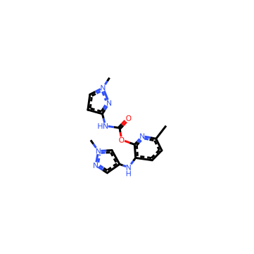 Cc1ccc(Nc2cnn(C)c2)c(OC(=O)Nc2ccn(C)n2)n1